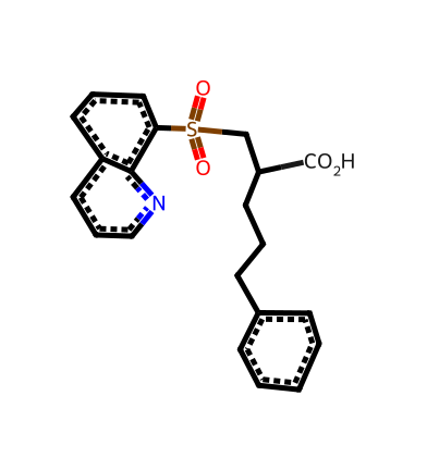 O=C(O)C(CCCc1ccccc1)CS(=O)(=O)c1cccc2cccnc12